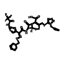 C#CCn1nnnc1SCC1=C(C(=O)O)N2C(=O)C(NC(=O)C(=NOCc3ccccc3)c3csc(NC(=O)C(F)(F)F)n3)[C@@H]2SC1